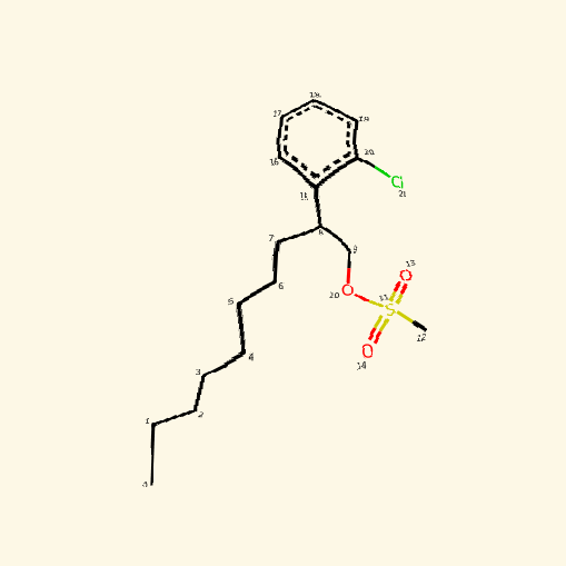 CCCCCCCCC(COS(C)(=O)=O)c1ccccc1Cl